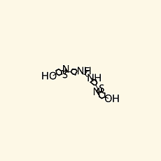 Oc1ccc2nc(-c3ccc(NCC(F)CNc4ccc(-c5nc6ccc(O)cc6s5)cc4)cc3)sc2c1